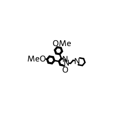 COc1ccc(-c2cc(=O)n(CCN3CCCCC3)nc2-c2ccc(OC)cc2)cc1